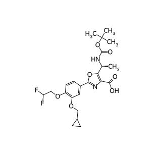 C[C@H](NC(=O)OC(C)(C)C)c1oc(-c2ccc(OCC(F)F)c(OCC3CC3)c2)nc1C(=O)O